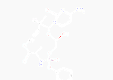 C#CC(C)(Cl)[C@@H](O[C@@H](O)COP(=O)(N[C@@H](C)C(=O)OC(C)C)Oc1ccccc1)n1ccc(N)nc1=O